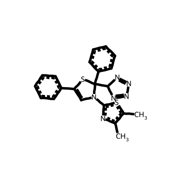 Cc1nc(N2C=C(c3ccccc3)SC2(c2ccccc2)C2N=NN=N2)sc1C